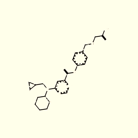 COC(=O)CNCc1ccc(NC(=O)c2cc(N(CC3CC3)C3CCCCC3)ncn2)cc1